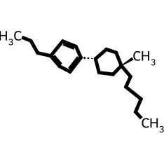 CCCCC[C@]1(C)CC[C@H](c2ccc(CCC)cc2)CC1